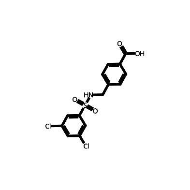 O=C(O)c1ccc(CNS(=O)(=O)c2cc(Cl)cc(Cl)c2)cc1